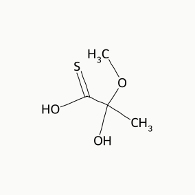 COC(C)(O)C(O)=S